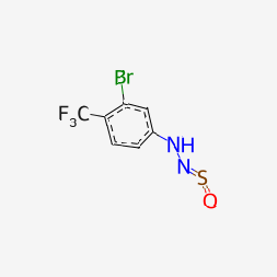 O=S=NNc1ccc(C(F)(F)F)c(Br)c1